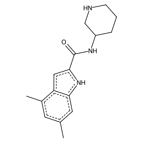 Cc1cc(C)c2cc(C(=O)NC3CCCNC3)[nH]c2c1